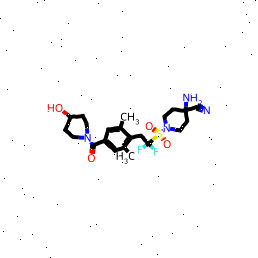 Cc1cc(C(=O)N2CCC(O)CC2)cc(C)c1CC(F)(F)S(=O)(=O)N1CCC(N)(C#N)CC1